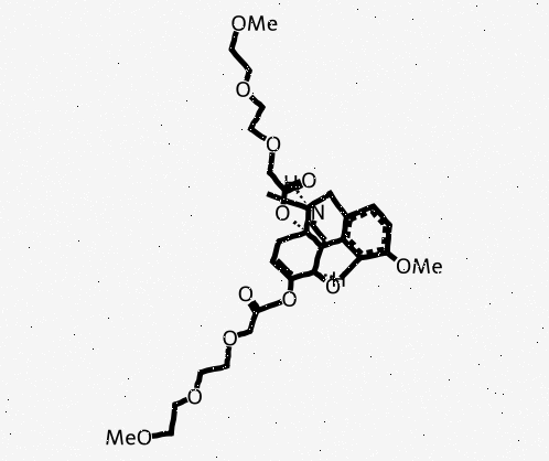 COCCOCCOCC(=O)OC1=CC[C@@]2(OC(=O)COCCOCCOC)[C@H]3Cc4ccc(OC)c5c4[C@@]2(CCN3C)[C@H]1O5